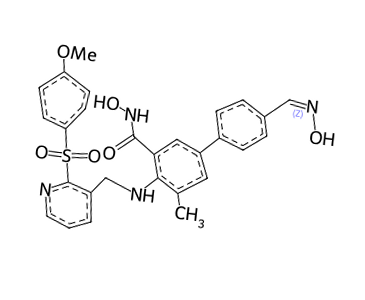 COc1ccc(S(=O)(=O)c2ncccc2CNc2c(C)cc(-c3ccc(/C=N\O)cc3)cc2C(=O)NO)cc1